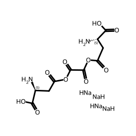 N[C@@H](CC(=O)OC(=O)C(=O)OC(=O)C[C@H](N)C(=O)O)C(=O)O.[NaH].[NaH].[NaH].[NaH]